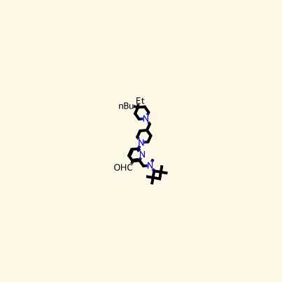 CCCCC1(CC)CCN(CC2CCN(c3ccc(C=O)c(CN(C)C4C(C)(C)CC4(C)C)n3)CC2)CC1